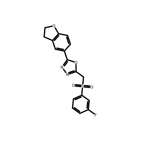 O=S(=O)(Cc1nnc(-c2ccc3c(c2)CCO3)o1)c1cccc(F)c1